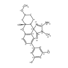 COC1CCC2[C@@H](C1)Oc1ccc(-c3cc(F)cc(Cl)c3)cc1C21N=C(N)N(C)C1=O